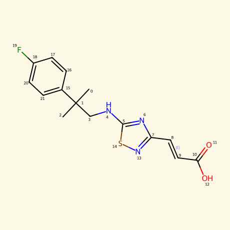 CC(C)(CNc1nc(/C=C/C(=O)O)ns1)c1ccc(F)cc1